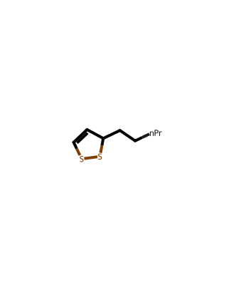 CCCCCC1C=CSS1